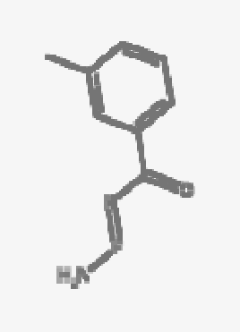 Cc1cccc(C(=O)N=PN)c1